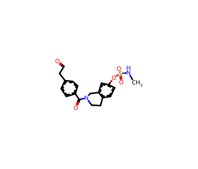 CNS(=O)(=O)Oc1ccc2c(c1)CN(C(=O)c1ccc(CC=O)cc1)CC2